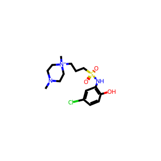 CN1CC[N+](C)(CCCS(=O)(=O)Nc2cc(Cl)ccc2O)CC1